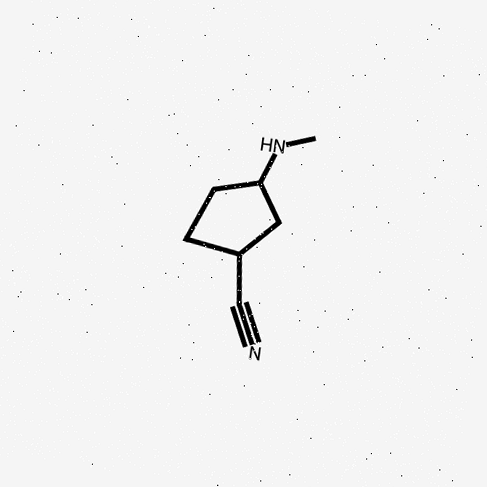 CNC1CCC(C#N)C1